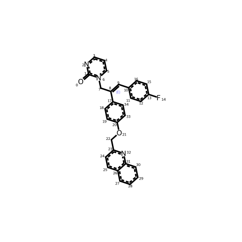 O=c1ncccn1C/C(=C/c1ccc(F)cc1)c1ccc(OCc2ccc3ccccc3n2)cc1